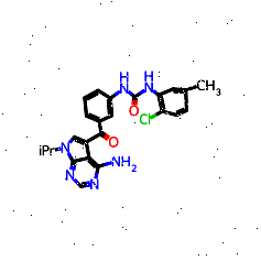 Cc1ccc(Cl)c(NC(=O)Nc2cccc(C(=O)c3cn(C(C)C)c4ncnc(N)c34)c2)c1